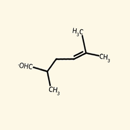 CC(C)=CCC(C)[C]=O